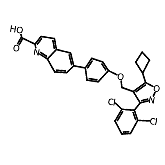 O=C(O)c1ccc2cc(-c3ccc(OCc4c(-c5c(Cl)cccc5Cl)noc4C4CCC4)cc3)ccc2n1